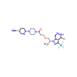 CC(COCCC(=O)N1CCN(c2ccc(C#N)cn2)CC1)n1nc(C(F)(F)F)c2c(=O)[nH]ncc21